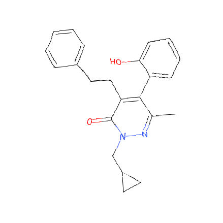 Cc1nn(CC2CC2)c(=O)c(CCc2ccccc2)c1-c1ccccc1O